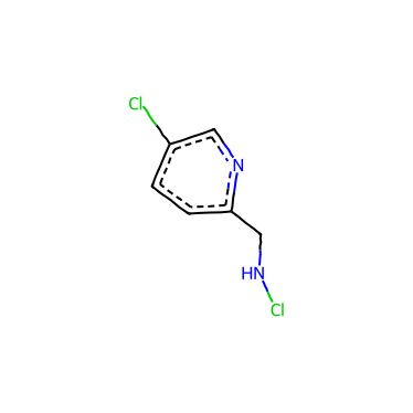 ClNCc1ccc(Cl)cn1